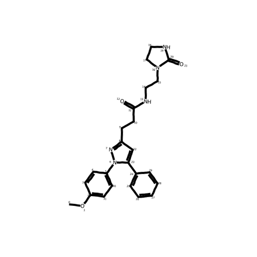 COc1ccc(-n2nc(CCC(=O)NCCN3CCNC3=O)cc2-c2ccccc2)cc1